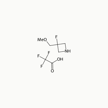 COCC1(F)CNC1.O=C(O)C(F)(F)F